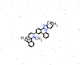 C=N/C(C(=C)/C=C\Cc1ccc2c(c1)c1ccccc1n1c(/C=C\C)c(C)nc21)=c1\cccc\c1=C\C